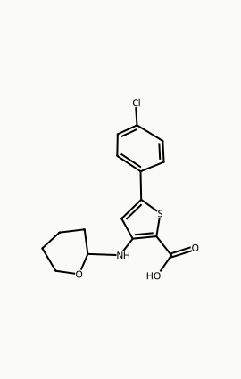 O=C(O)c1sc(-c2ccc(Cl)cc2)cc1NC1CCCCO1